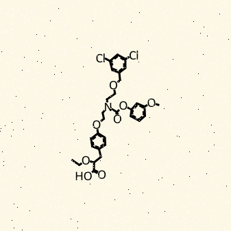 CCOC(Cc1ccc(OCCN(CCOCc2cc(Cl)cc(Cl)c2)C(=O)Oc2cccc(OC)c2)cc1)C(=O)O